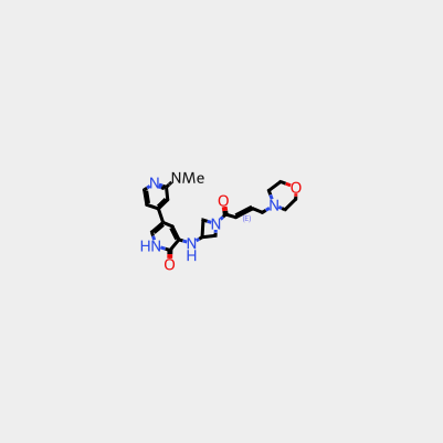 CNc1cc(-c2c[nH]c(=O)c(NC3CN(C(=O)/C=C/CN4CCOCC4)C3)c2)ccn1